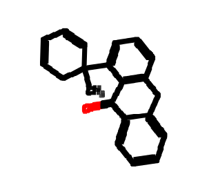 CC1(c2cccc3c2C(=O)c2ccccc2C3)C=CC=CC1